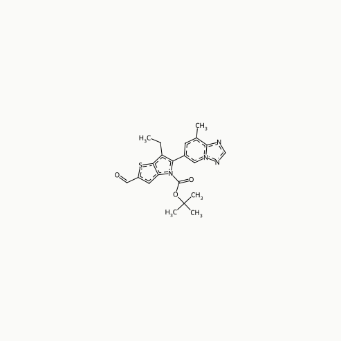 CCc1c(-c2cc(C)c3ncnn3c2)n(C(=O)OC(C)(C)C)c2cc(C=O)sc12